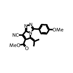 COC(=O)c1c(C#N)c2nnc(-c3ccc(OC)cc3)n2c1=C(C)C